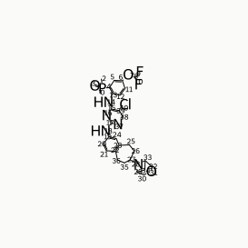 CP(C)(=O)c1cc(OC(F)F)ccc1Nc1nc(Nc2ccc3c(c2)CCC(N2C4COCC2C4)CC3)ncc1Cl